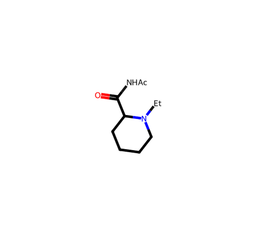 CCN1CCCCC1C(=O)NC(C)=O